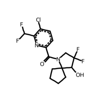 O=C(c1ccc(Cl)c(C(F)F)n1)N1CC(F)(F)C(O)C12CCCC2